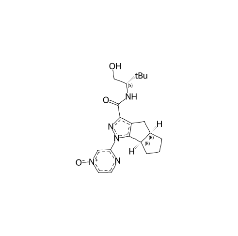 CC(C)(C)[C@@H](CO)NC(=O)c1nn(-c2c[n+]([O-])ccn2)c2c1C[C@H]1CCC[C@@H]21